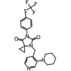 O=C1N(c2ccc(SC(F)(F)F)cc2)C(=O)C2(CC2)N1Cc1ccncc1N1CCCCC1